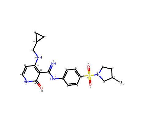 N=C(Nc1ccc(S(=O)(=O)N2CCC(C(F)(F)F)C2)cc1)c1c(NCC2CC2)cc[nH]c1=O